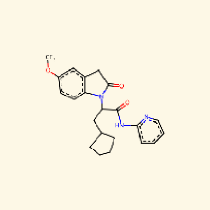 O=C(Nc1ccccn1)C(CC1CCCC1)N1C(=O)Cc2cc(OC(F)(F)F)ccc21